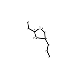 CCCC1COC(CC)O1